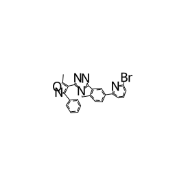 Cc1onc(-c2ccccc2)c1-c1nnc2n1Cc1ccc(-c3cccc(Br)n3)cc1-2